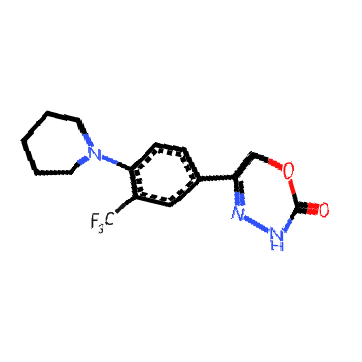 O=C1NN=C(c2ccc(N3CCCCC3)c(C(F)(F)F)c2)CO1